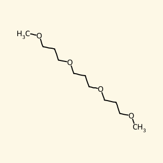 COCCCOCCCOCCCOC